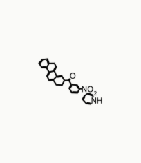 C1=CC=CNC=C1.O=C(c1cccc([N+](=O)[O-])c1)C1C=c2c(ccc3c2=CCc2ccccc2-3)CC1